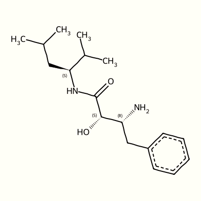 CC(C)C[C@H](NC(=O)[C@@H](O)[C@H](N)Cc1ccccc1)C(C)C